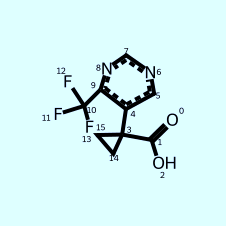 O=C(O)C1(c2cncnc2C(F)(F)F)CC1